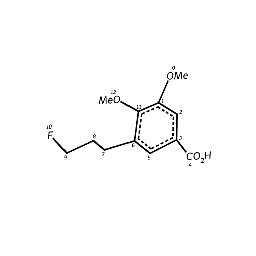 COc1cc(C(=O)O)cc(CCCF)c1OC